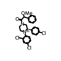 COC(C(=O)N1CCN(c2ccc(Cl)cc2Cl)[C@H](c2ccc(Cl)cc2)C1)c1ccccc1